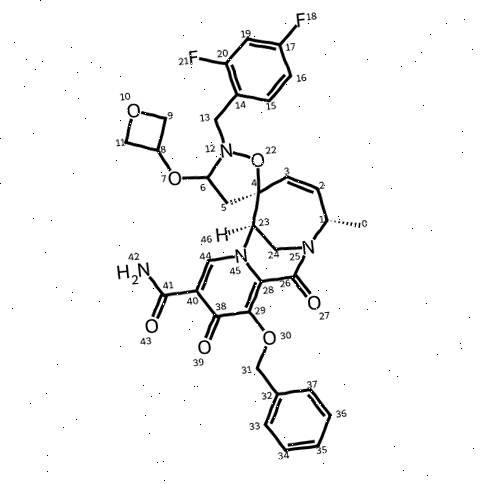 C[C@H]1C=C[C@@]2(CC(OC3COC3)N(Cc3ccc(F)cc3F)O2)[C@H]2CN1C(=O)c1c(OCc3ccccc3)c(=O)c(C(N)=O)cn12